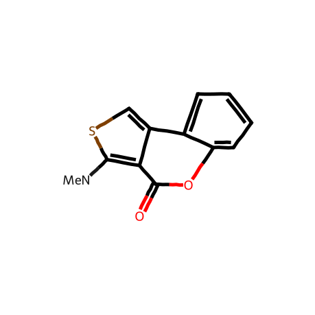 CNc1scc2c1c(=O)oc1ccccc12